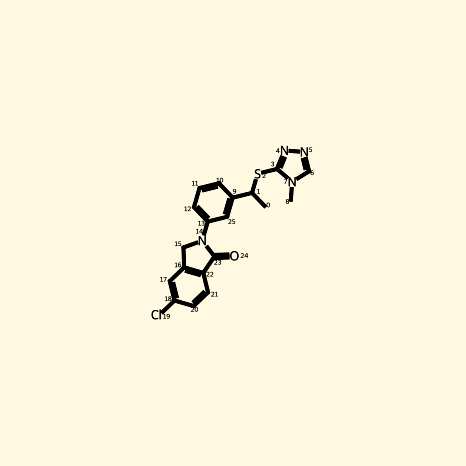 CC(Sc1nncn1C)c1cccc(N2Cc3cc(Cl)ccc3C2=O)c1